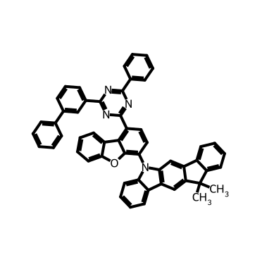 CC1(C)c2ccccc2-c2cc3c(cc21)c1ccccc1n3-c1ccc(-c2nc(-c3ccccc3)nc(-c3cccc(-c4ccccc4)c3)n2)c2c1oc1ccccc12